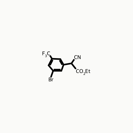 CCOC(=O)C(C#N)c1cc(Br)cc(C(F)(F)F)c1